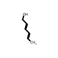 CC=CC=C[CH]O